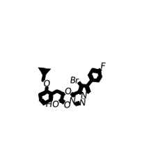 O=C(O)C(Cc1ccccc1OCC1CC1)Oc1ncnn2cc(-c3ccc(F)cc3)c(Br)c12